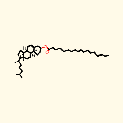 CC/C=C/C/C=C/C/C=C/CCCCCCCC(=O)O[C@H]1CC[C@@]2(C)C(=CC[C@H]3[C@@H]4CC[C@H]([C@H](C)CCCC(C)C)[C@@]4(C)CC[C@@H]32)C1